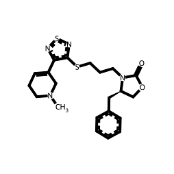 CN1CCC=C(c2nsnc2SCCCN2C(=O)OC[C@H]2Cc2ccccc2)C1